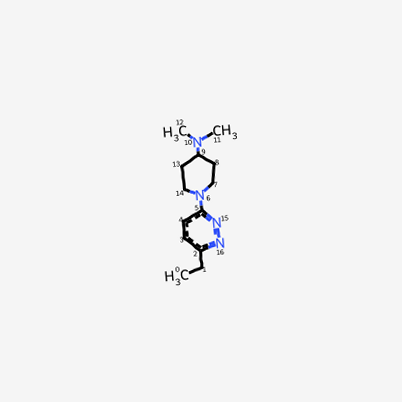 CCc1ccc(N2CCC(N(C)C)CC2)nn1